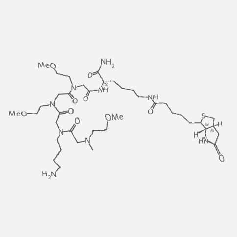 COCCN(C)CC(=O)N(CCCCN)CC(=O)N(CCOC)CC(=O)N(CCOC)CC(=O)N[C@@H](CCCCNC(=O)CCCCC1SC[C@@H]2CC(=O)N[C@H]12)C(N)=O